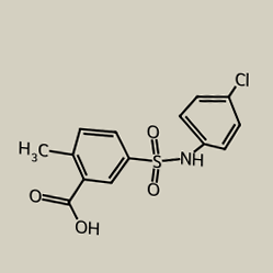 Cc1ccc(S(=O)(=O)Nc2ccc(Cl)cc2)cc1C(=O)O